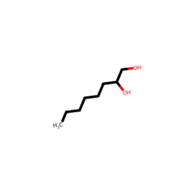 CCCCC[CH]C(O)CO